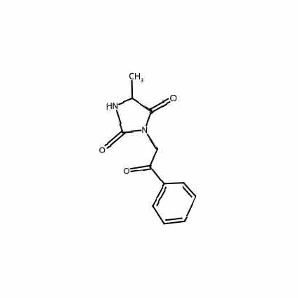 CC1NC(=O)N(CC(=O)c2ccccc2)C1=O